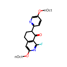 CCCCCCCCOc1ccc(C2CCc3cc(OCCCCCCCC)nc(F)c3C2=O)nc1